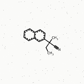 CCC(C)(C#N)c1ccc2ccccc2c1